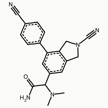 CN(C)C(C(N)=O)c1cc2c(c(-c3ccc(C#N)cc3)c1)CN(C#N)C2